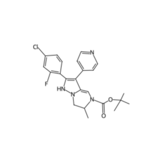 CC1CN2NC(c3ccc(Cl)cc3F)=C(c3ccncc3)C2=CN1C(=O)OC(C)(C)C